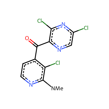 CNc1nccc(C(=O)c2ncc(Cl)nc2Cl)c1Cl